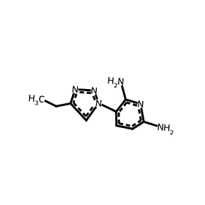 CCc1cn(-c2ccc(N)nc2N)nn1